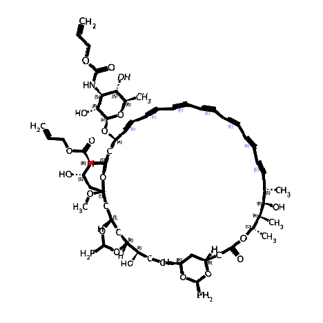 C=CCOC(=O)N[C@@H]1[C@@H](O)[C@H](O[C@H]2/C=C/C=C/C=C/C=C/C=C/C=C/C=C/[C@H](C)[C@@H](O)[C@@H](C)[C@H](C)OC(=O)C[C@H]3C[C@@H](CC[C@@H](O)[C@H]4C[C@@H](C[C@]5(OC)C[C@H](O)[C@@H](C(=O)OCC=C)[C@H](C2)O5)OC(P)O4)OC(P)O3)O[C@H](C)[C@H]1O